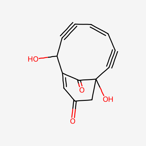 O=C1C=C2C(=O)C(O)(C#CC=CC#CC2O)C1